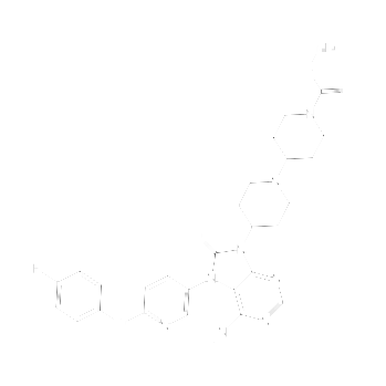 CCCCOC(=O)N1CCC(N2CCC(n3c(=O)n(-c4ccc(Oc5ccc(F)cc5)nc4)c4c(N)ncnc43)CC2)CC1